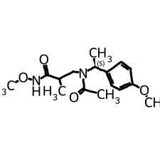 CONC(=O)C(C)CN(C(C)=O)[C@@H](C)c1ccc(OC)cc1